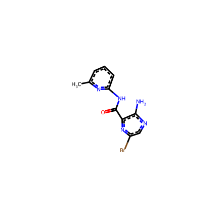 Cc1cccc(NC(=O)c2nc(Br)cnc2N)n1